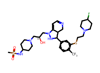 CS(=O)(=O)NC1CCN(C[C@H](O)CN2NC(c3ccc(C(F)(F)F)c(SCCN4CCC(F)CC4)c3)C3CN=CC=C32)CC1